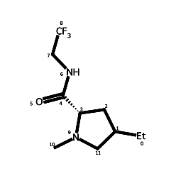 CCC1C[C@@H](C(=O)NCC(F)(F)F)N(C)C1